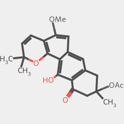 COc1cc2cc3c(c(O)c2c2c1C=CC(C)(C)O2)C(=O)CC(C)(OC(C)=O)C3